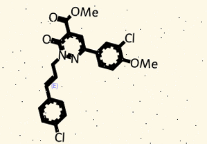 COC(=O)c1cc(-c2ccc(OC)c(Cl)c2)nn(C/C=C/c2ccc(Cl)cc2)c1=O